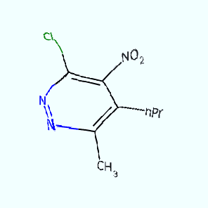 CCCc1c(C)nnc(Cl)c1[N+](=O)[O-]